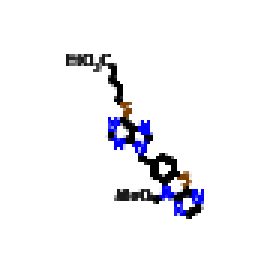 CCOC(=O)CCCCSc1ncnc2c1ncn2Cc1ccc2c(c1)N(COC)c1nccnc1S2